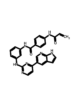 C=CC(=O)Nc1ccc(C(=O)Nc2cccc(Nc3nccc(-c4cnc5[nH]ccc5c4)n3)c2)cc1